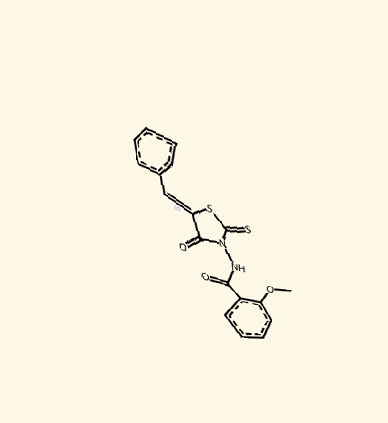 COc1ccccc1C(=O)NN1C(=O)/C(=C/c2ccccc2)SC1=S